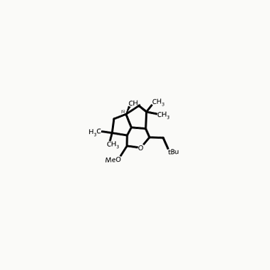 COC1OC(CC(C)(C)C)C2C3C1C(C)(C)C[C@]3(C)CC2(C)C